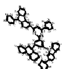 c1ccc(-c2ccc3c4ccccc4n(-c4cc(-c5nc(-c6ccccc6)cc(-c6ccc7c(c6)-c6ccccc6C7c6ccccc6)n5)cc(-c5cc6ccccc6c6ccccc56)c4)c3c2)cc1